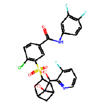 O=C(Nc1ccc(F)c(F)c1)c1ccc(Cl)c(S(=O)(=O)C2CC3CC(C2)C3(O)C(O)c2ncccc2F)c1